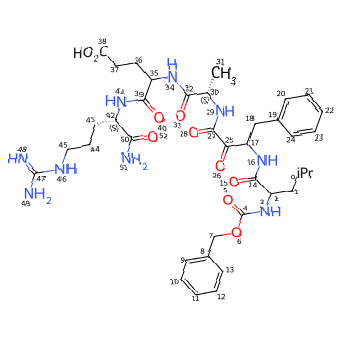 CC(C)CC(NC(=O)OCc1ccccc1)C(=O)NC(Cc1ccccc1)C(=O)C(=O)N[C@@H](C)C(=O)NC(CCC(=O)O)C(=O)N[C@@H](CCCNC(=N)N)C(N)=O